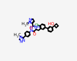 Cn1cnnc1-c1ccc(NC(=O)C(Cc2cc(-c3cccc(C4(O)CCC4)c3)ccc2Cl)NC(=O)c2ccnn2C)cc1